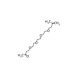 C=C(C)CCOCCOCCOCCOCCC(C)=O